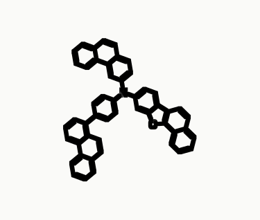 c1ccc2c(c1)ccc1ccc(N(c3ccc(-c4cccc5c4ccc4ccccc45)cc3)c3ccc4c(c3)oc3c5ccccc5ccc43)cc12